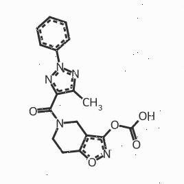 Cc1nn(-c2ccccc2)nc1C(=O)N1CCc2onc(OC(=O)O)c2C1